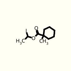 CC(I)OC(=O)C1(C)CCCCC1